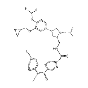 CC(=O)N1CC(c2ccc(OC(F)F)c(OCC3CC3)c2)C[C@@H]1CNC(=O)c1ccc(C(=O)N(C)c2ccc(F)cc2)cn1